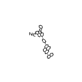 N#Cc1ccc2c3c1ccc1c(-c4ccc(-c5cc6ccc7cc(-c8cccc9ccccc89)cc8ccc(c5)c6c78)cc4)ccc(c13)n2-c1ccccc1